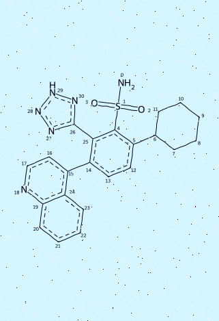 NS(=O)(=O)c1c(C2CCCCC2)ccc(-c2ccnc3ccccc23)c1-c1nn[nH]n1